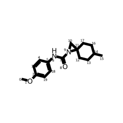 COc1ccc(NC(=O)N2CC23CCC(C)CC3)cc1